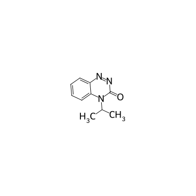 CC(C)n1c(=O)nnc2ccccc21